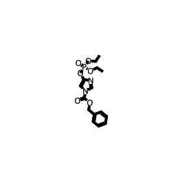 CCOP(=O)(OCC)Oc1cn(C(=O)OCc2ccccc2)cn1